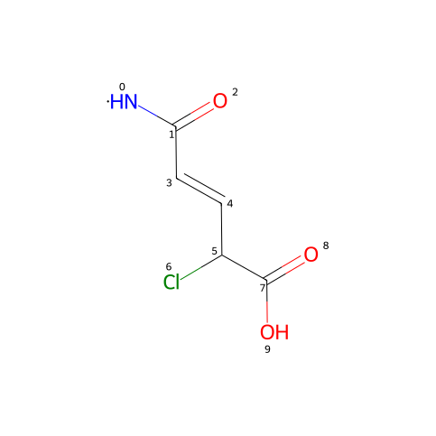 [NH]C(=O)C=CC(Cl)C(=O)O